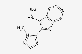 Cn1nccc1-c1nc2cnccn2c1NC(C)(C)C